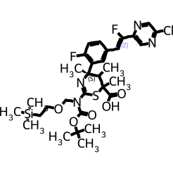 CC1C(C)(C(=O)O)SC(N(COCC[Si](C)(C)C)C(=O)OC(C)(C)C)=N[C@]1(C)c1cc(/C=C(\F)c2cnc(Cl)cn2)ccc1F